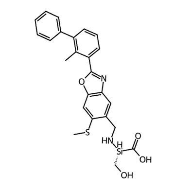 CSc1cc2oc(-c3cccc(-c4ccccc4)c3C)nc2cc1CN[Si@@H](CO)C(=O)O